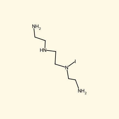 NCCNCCN(I)CCN